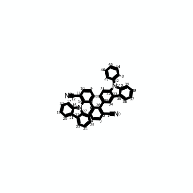 N#Cc1cccc(-c2cccc(C#N)c2-n2c3ccccc3c3ccccc32)c1-c1ccc2c(c1)c1ccccc1n2-c1ccccc1